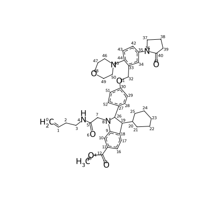 C=CCCNC(=O)CN1c2cc(C(=O)OC)ccc2C(C2CCCCC2)C1c1ccc(OCc2cc(N3CCCC3=O)ccc2N2CCOCC2)cc1